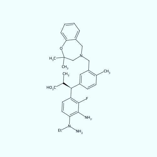 CCN(N)c1ccc([C@H](c2ccc(C)c(CN3Cc4ccccc4OC(C)(C)C3)c2)C(C)C(=O)O)c(F)c1N